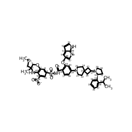 COCC1(C)COc2cc(S(=O)(=O)NC(=O)c3ccc(N4CCC5(CC4)CC(N4CCC[C@H]4c4ccccc4C(C)C)C5)cc3Oc3cnc4[nH]ccc4c3)cc([N+](=O)[O-])c2N1